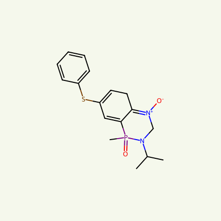 CC(C)N1C[N+]([O-])=C2CC=C(Sc3ccccc3)C=C2P1(C)=O